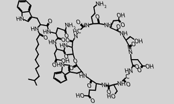 CC(C)CCCCCCCCC(=O)NC(Cc1c[nH]c2ccccc12)C(=O)NC(CC(N)=O)C(=O)NC(CC(=O)O)C(=O)NC1C(=O)NCC(=O)NC(CCCN)C(=O)NC(CC(=O)O)C(=O)NC(CO)C(=O)NC(CC(=O)O)C(=O)NCC(=O)NC(CO)C(=O)NC(CCC(=O)O)C(=O)NC(Cc2c[nH]c3ccccc23)C(=O)OC1C